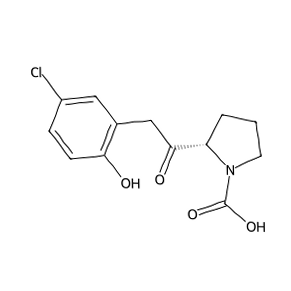 O=C(Cc1cc(Cl)ccc1O)[C@@H]1CCCN1C(=O)O